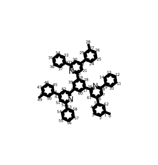 Cc1cccc(-c2cc(-c3ccccc3)nc(-c3cc(-c4cc(-c5cccc(C)c5)cc(-c5ccccc5)n4)cc(-c4cc(-c5cccc(C)c5)cc(-c5ccccc5)n4)c3)c2)c1